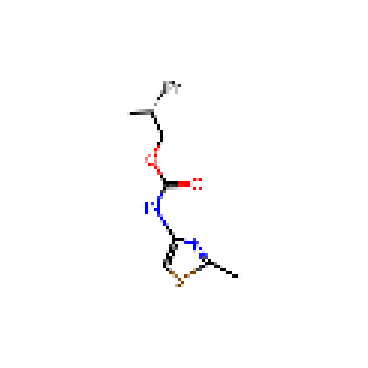 Cc1nc(NC(=O)OC[C@H](C)C(C)C)cs1